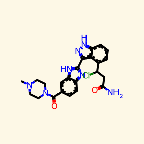 CN1CCN(C(=O)c2ccc3nc(-c4n[nH]c5cccc(C(Cl)CC(N)=O)c45)[nH]c3c2)CC1